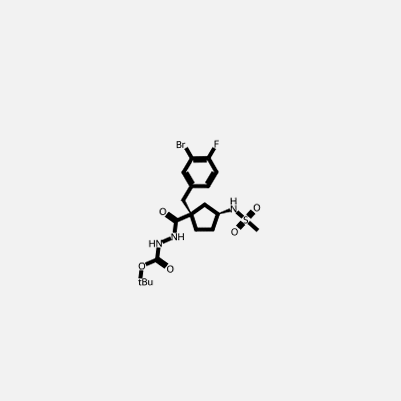 CC(C)(C)OC(=O)NNC(=O)[C@@]1(Cc2ccc(F)c(Br)c2)CC[C@H](NS(C)(=O)=O)C1